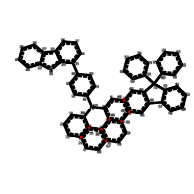 c1ccc(-c2ccccc2N(c2ccc(-c3cccc4c3sc3ccccc34)cc2)c2ccccc2-c2cccc(-c3ccc4c(c3)-c3ccccc3C4(c3ccccc3)c3ccccc3)c2)cc1